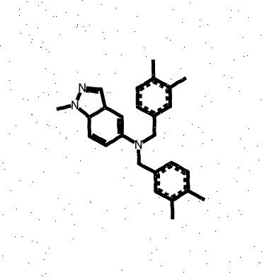 Cc1ccc(CN(Cc2ccc(C)c(C)c2)C2=CC3C=NN(C)C3C=C2)cc1C